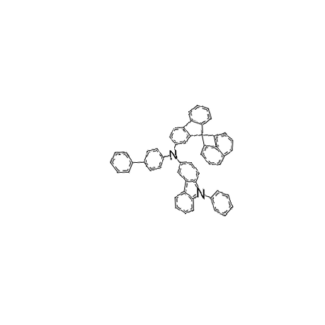 c1ccc(-c2ccc(N(c3ccc4c(c3)C3(c5ccccc5-4)c4cccc5cccc3c45)c3ccc4c(c3)c3ccccc3n4-c3ccccc3)cc2)cc1